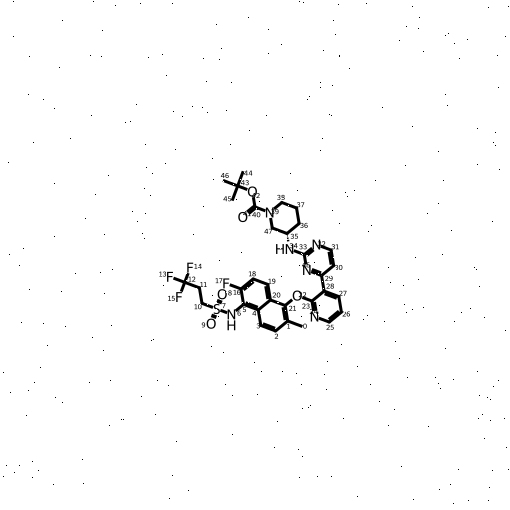 Cc1ccc2c(NS(=O)(=O)CCC(F)(F)F)c(F)ccc2c1Oc1ncccc1-c1ccnc(N[C@H]2CCCN(C(=O)OC(C)(C)C)C2)n1